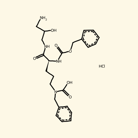 Cl.NCC(O)CNC(=O)[C@H](CCCN(Cc1ccccc1)C(=O)O)NC(=O)OCc1ccccc1